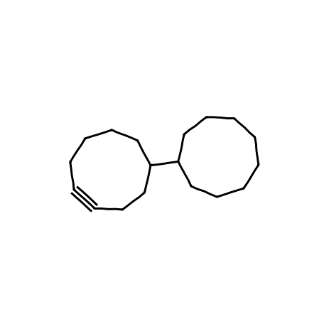 C1#CCCC(C2CCCCCCCC2)CCCC1